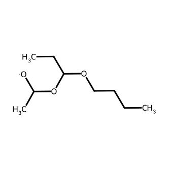 CCCCOC(CC)OC(C)[O]